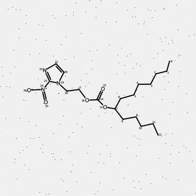 CCCCCCCC(CCCCC)OC(=O)OCCn1ccnc1[N+](=O)[O-]